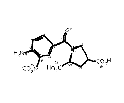 Nc1ccc(C(=O)N2CC(C(=O)O)CC2C(=O)O)cc1C(=O)O